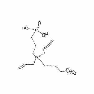 C=CC[N+](CC=C)(CCCC=O)CCCP(=O)(O)O